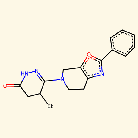 CCC1CC(=O)NN=C1N1CCc2nc(-c3ccccc3)oc2C1